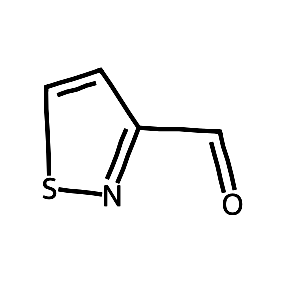 O=Cc1ccsn1